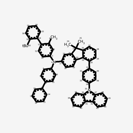 Cc1cc(N(c2ccc(-c3ccccc3)cc2)c2ccc3c(c2)C(C)(C)c2cccc(-c4ccc(-n5c6ccccc6c6ccccc65)cc4)c2-3)ccc1-c1ccccc1C(C)(C)C